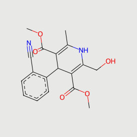 COC(=O)C1=C(C)NC(CO)=C(C(=O)OC)C1c1ccccc1C#N